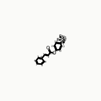 O=C(C=Cc1ccccc1)Oc1ccc(S(F)(F)(F)(F)F)cc1